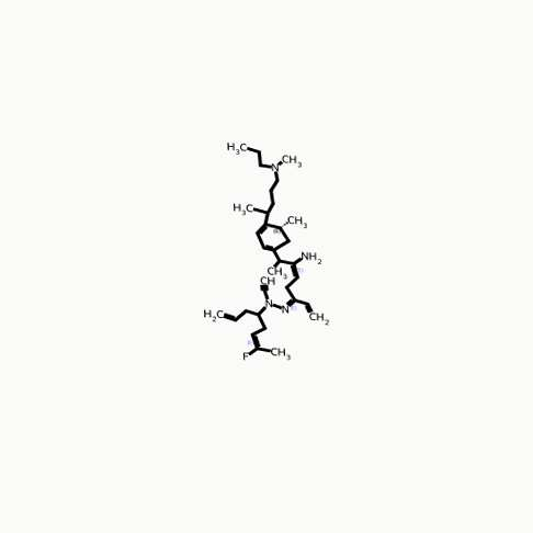 C#CN(/N=C(/C=C)C/C=C(/N)C(C)C1=CC=C(C(C)CCCN(C)CCC)[C@H](C)C1)C(CC=C)C/C=C(\C)F